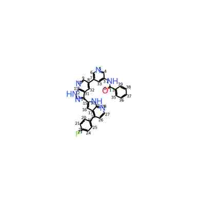 O=C(Nc1cncc(-c2cnc3[nH]nc(-c4cc5c(-c6ccc(F)cc6)ccnc5[nH]4)c3c2)c1)c1ccccc1